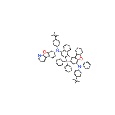 C[Si](C)(C)c1ccc(N(c2ccc3c(c2)oc2ncccc23)c2cc3c(c4ccccc24)-c2c(cc(N(c4ccccc4)c4ccc([Si](C)(C)C)cc4)c4oc5ccccc5c24)C3(c2ccccc2)c2ccccc2)cc1